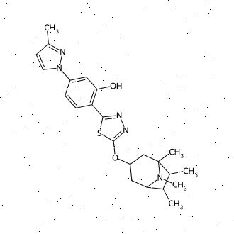 Cc1ccn(-c2ccc(-c3nnc(OC4CC5C(C)C(C)C(C)(C4)N5C)s3)c(O)c2)n1